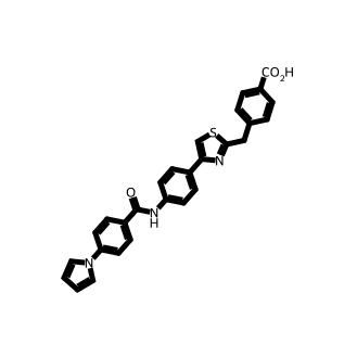 O=C(O)c1ccc(Cc2nc(-c3ccc(NC(=O)c4ccc(-n5cccc5)cc4)cc3)cs2)cc1